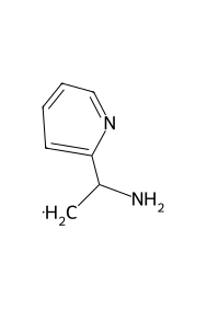 [CH2]C(N)c1ccccn1